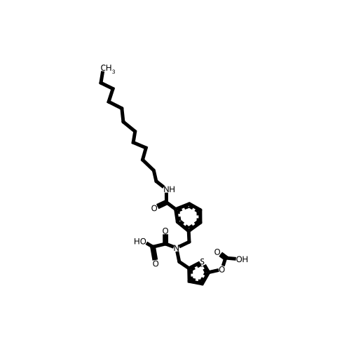 CCCCCCCCCCCCNC(=O)c1cccc(CN(Cc2ccc(OC(=O)O)s2)C(=O)C(=O)O)c1